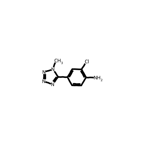 Cn1nnnc1-c1ccc(N)c(Cl)c1